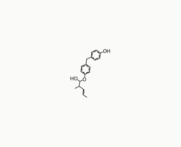 CC=CC(C)C(O)Oc1ccc(Cc2ccc(O)cc2)cc1